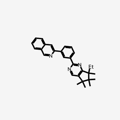 CCC1(C)c2nc(-c3cccc(-c4cc5ccccc5cn4)c3)ncc2C(C)(C)C1(C)C